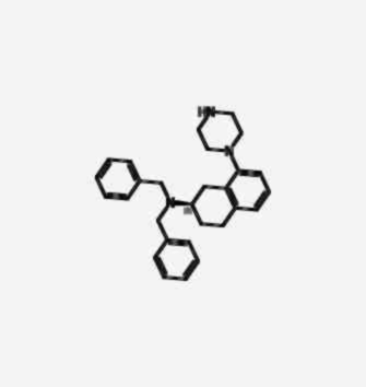 c1ccc(CN(Cc2ccccc2)[C@@H]2CCc3cccc(N4CCNCC4)c3C2)cc1